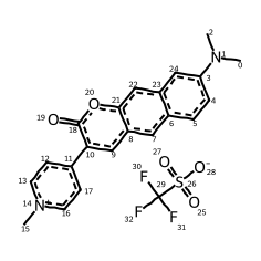 CN(C)c1ccc2cc3cc(-c4cc[n+](C)cc4)c(=O)oc3cc2c1.O=S(=O)([O-])C(F)(F)F